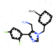 COc1cccc(Cn2cnc(-c3ccc(F)cc3F)c2CN)c1